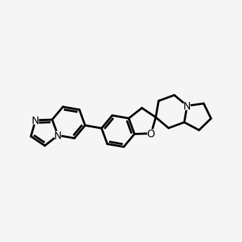 c1cn2cc(-c3ccc4c(c3)CC3(CCN5CCCC5C3)O4)ccc2n1